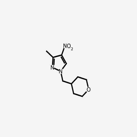 Cc1nn(CC2CCOCC2)cc1[N+](=O)[O-]